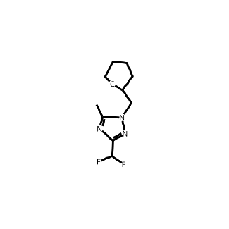 Cc1nc(C(F)F)nn1CC1CCCCC1